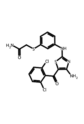 NC(=O)CSc1cccc(Nc2nc(N)c(C(=O)c3c(Cl)cccc3Cl)s2)c1